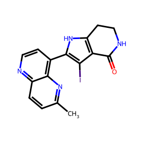 Cc1ccc2nccc(-c3[nH]c4c(c3I)C(=O)NCC4)c2n1